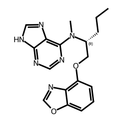 CCC[C@H](COc1cccc2ocnc12)N(C)c1ncnc2[nH]cnc12